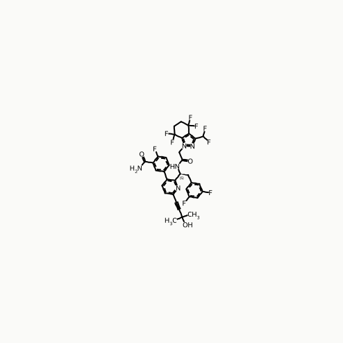 CC(C)(O)C#Cc1ccc(-c2ccc(F)c(C(N)=O)c2)c([C@H](Cc2cc(F)cc(F)c2)NC(=O)Cn2nc(C(F)F)c3c2C(F)(F)CCC3(F)F)n1